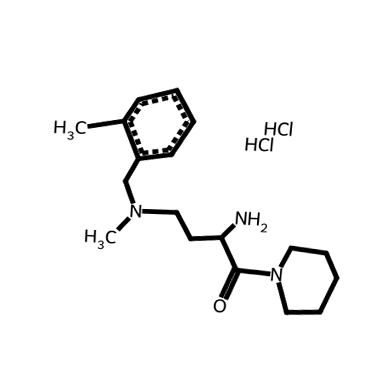 Cc1ccccc1CN(C)CCC(N)C(=O)N1CCCCC1.Cl.Cl